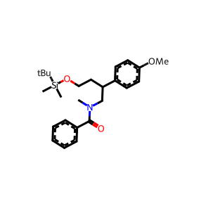 COc1ccc(C(CCO[Si](C)(C)C(C)(C)C)CN(C)C(=O)c2ccccc2)cc1